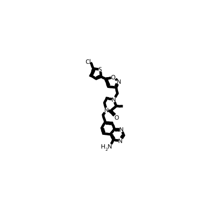 CC1C(=O)N(Cc2ccc3c(N)ncnc3c2)CCN1Cc1cc(-c2ccc(Cl)s2)on1